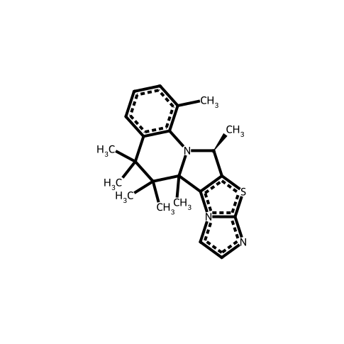 Cc1cccc2c1N1[C@@H](C)c3sc4nccn4c3C1(C)C(C)(C)C2(C)C